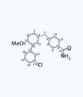 COc1ccc(Cc2ccc(C(N)=O)cc2)cc1-c1cccc(Cl)c1